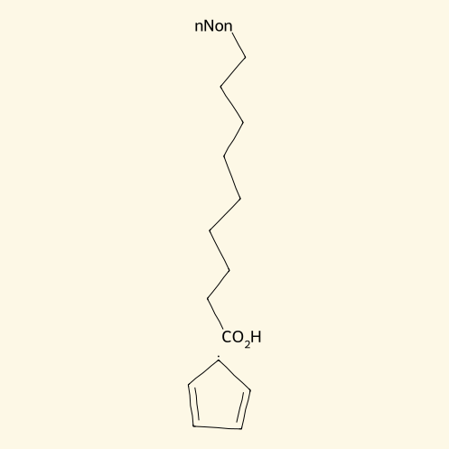 CCCCCCCCCCCCCCCCCC(=O)O.[CH]1C=CC=C1